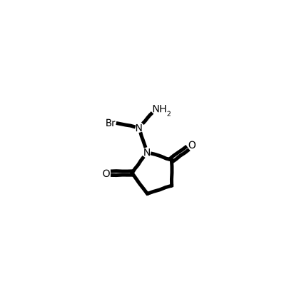 NN(Br)N1C(=O)CCC1=O